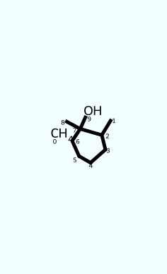 C.CC1CCCCC1(C)O